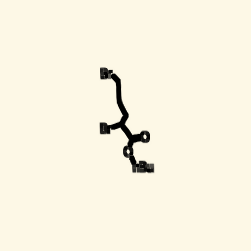 CCCCOC(=O)C(Br)CCCBr